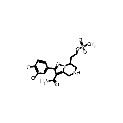 CS(=O)(=O)OCCC1CNCc2c(C(N)=O)c(-c3ccc(F)c(Cl)c3)nn21